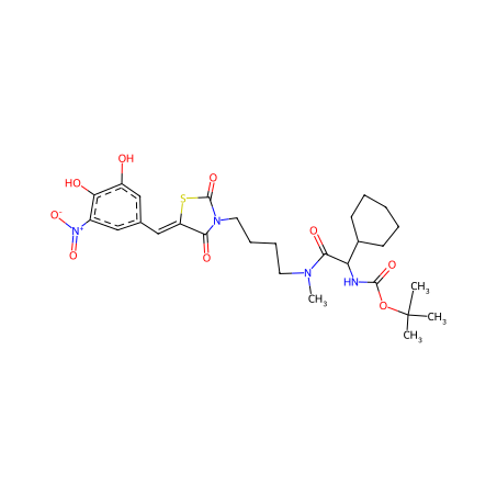 CN(CCCCN1C(=O)S/C(=C\c2cc(O)c(O)c([N+](=O)[O-])c2)C1=O)C(=O)C(NC(=O)OC(C)(C)C)C1CCCCC1